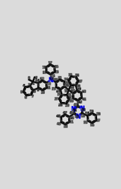 CC1(C)c2ccccc2-c2ccc(N(c3ccccc3)c3ccc4c(c3)-c3ccccc3C43c4ccccc4-c4ccc(-c5nc(-c6ccccc6)nc(-c6ccccc6)n5)cc43)cc21